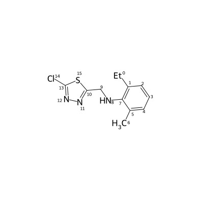 CCc1cccc(C)c1NCc1nnc(Cl)s1